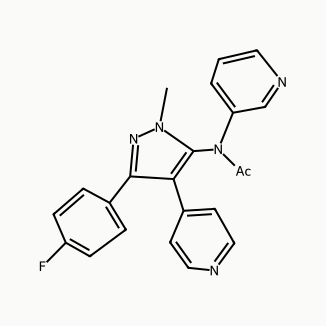 CC(=O)N(c1cccnc1)c1c(-c2ccncc2)c(-c2ccc(F)cc2)nn1C